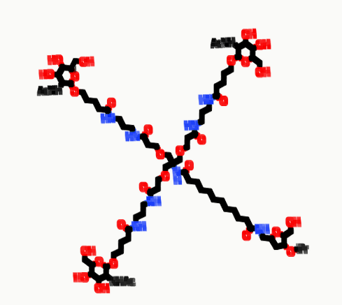 CC(=O)NC1C(OCCCCC(=O)NCCCNC(=O)CCOCC(COCCC(=O)NCCCNC(=O)CCCCOC2OC(CO)C(O)C(O)C2NC(C)=O)(COCCC(=O)NCCCNC(=O)CCCCOC2O[C@H](CO)C(O)C(O)C2NC(C)=O)NC(=O)CCCCCCCCCCC(=O)NCC2CC(OC(C)C)C(CO)O2)OC(CO)C(O)C1O